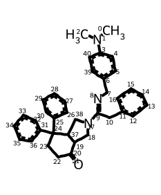 CN(C)c1ccc(CN=C(Cc2ccccc2)N2CC3C(=O)CCC(c4ccccc4)(c4ccccc4)C3C2)cc1